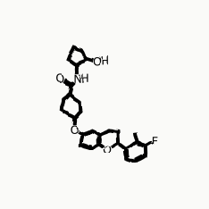 Cc1c(F)cccc1C1CCc2cc(OC3CCC(C(=O)NC4CCCC4O)CC3)ccc2O1